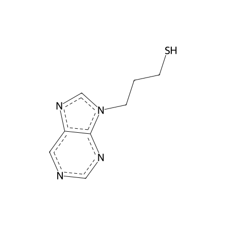 SCCCn1cnc2cncnc21